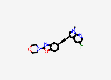 Cn1cc(C#Cc2ccc3oc(N4CCOCC4)nc3c2)c2cc(F)cnc21